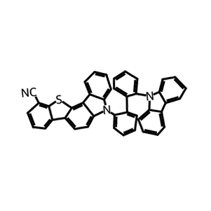 N#Cc1cccc2c1sc1c2ccc2c1c1ccccc1n2-c1ccccc1-c1ccccc1-n1c2ccccc2c2ccccc21